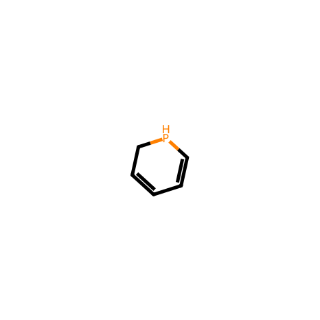 C1=CCPC=C1